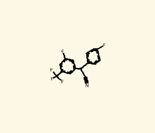 N#CC(c1ccc(F)cc1)c1cc(F)cc(C(F)(F)F)c1